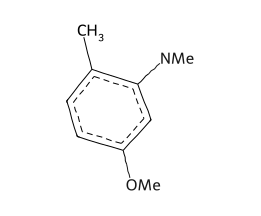 CNc1cc(OC)ccc1C